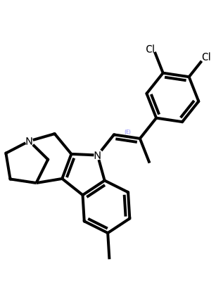 C/C(=C\n1c2c(c3cc(C)ccc31)C1CCN(C2)C1)c1ccc(Cl)c(Cl)c1